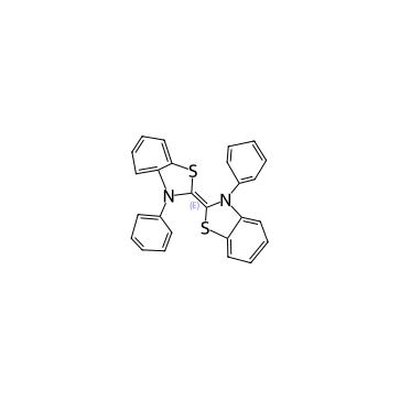 c1ccc(N2/C(=C3\Sc4ccccc4N3c3ccccc3)Sc3ccccc32)cc1